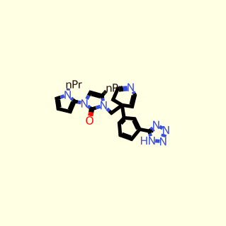 CCCc1cn(-c2cccn2CCC)c(=O)n1CC1(c2cccc(-c3nnn[nH]3)c2)C=CN=CC1